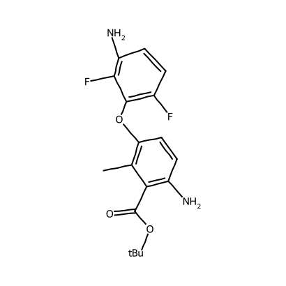 Cc1c(Oc2c(F)ccc(N)c2F)ccc(N)c1C(=O)OC(C)(C)C